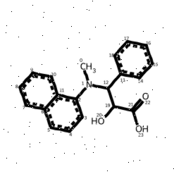 CN(c1cccc2ccccc12)C(c1ccccc1)C(O)C(=O)O